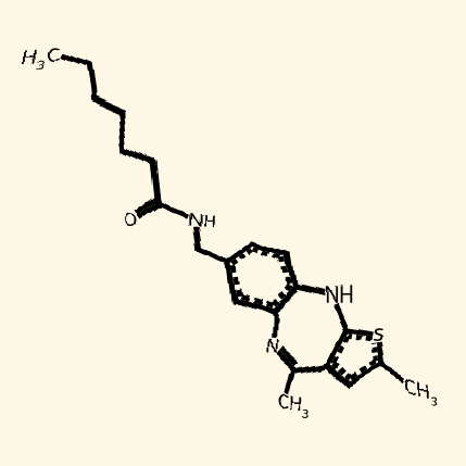 CCCCCCC(=O)NCc1ccc2c(c1)N=C(C)c1cc(C)sc1N2